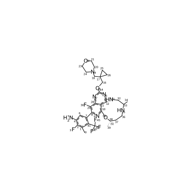 Cc1c(F)c(N)cc(-c2nc3c4c(nc(OCC5(CN6CCOCC6)CC5)nc4c2F)NCC(C)NCC[C@H](C)O3)c1C(F)(F)F